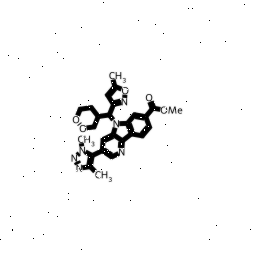 COC(=O)c1ccc2c3ncc(-c4c(C)nnn4C)cc3n(C(c3cc(C)on3)C3CCOOC3)c2c1